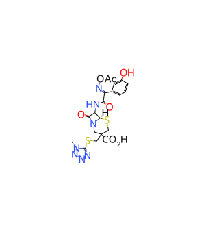 CC(=O)ON=C(C(=O)NC1C(=O)N2CC(CSc3nnnn3C)(C(=O)O)CS[C@H]12)c1cccc(O)c1